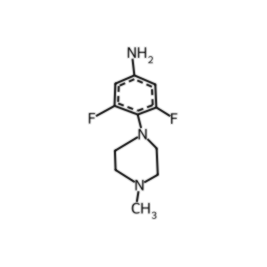 CN1CCN(c2c(F)cc(N)cc2F)CC1